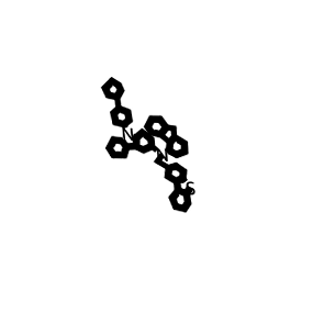 c1ccc(-c2ccc(-n3c4ccccc4c4cc(N(Cc5ccc6sc7ccccc7c6c5)c5cccc6c5-c5ccccc5C6)ccc43)cc2)cc1